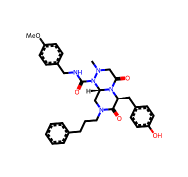 COc1ccc(CNC(=O)N2[C@H]3CN(CCCc4ccccc4)C(=O)[C@H](Cc4ccc(O)cc4)N3C(=O)CN2C)cc1